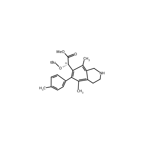 COC(=O)[C@@H](OC(C)(C)C)c1c(C)c2c(c(C)c1-c1ccc(C)cc1)CCNC2